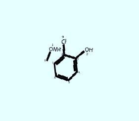 COC.Oc1ccccc1Cl